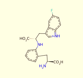 N[C@@H](Cc1ccccc1N[C@@H](Cc1c[nH]c2ccc(F)cc12)C(=O)O)C(=O)O